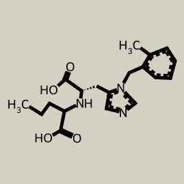 CCCC(N[C@@H](Cc1cncn1Cc1ccccc1C)C(=O)O)C(=O)O